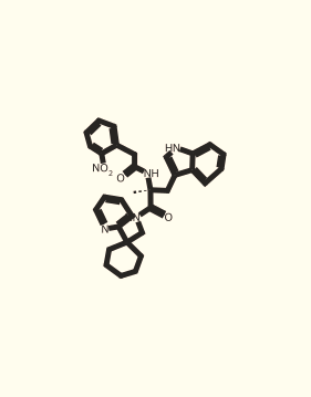 C[C@@](Cc1c[nH]c2ccccc12)(NC(=O)Cc1ccccc1[N+](=O)[O-])C(=O)NCC1(c2ccccn2)CCCCC1